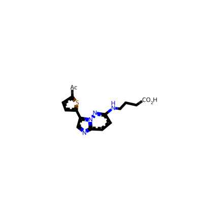 CC(=O)c1ccc(-c2cnc3ccc(NCCCC(=O)O)nn23)s1